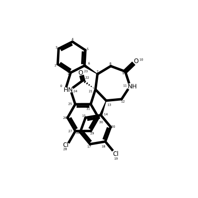 Cc1ccccc1[C@H]1CC(=O)NC[C@@H](c2cccc(Cl)c2)[C@]12C(=O)Nc1cc(Cl)ccc12